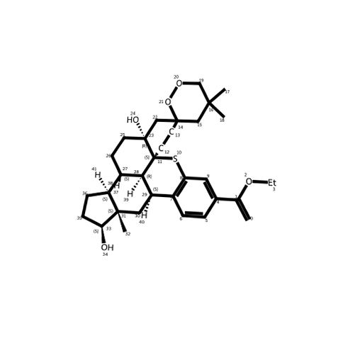 C=C(OCC)c1ccc2c(c1)S[C@]13CCC4(CC(C)(C)COO4)C[C@]1(O)CC[C@@H]1[C@@H]3[C@@H]2C[C@]2(C)[C@@H](O)CC[C@@H]12